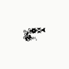 CC[C@H](C)[C@H](NC(=O)c1ccc(N2CCN(C3CC3)CC2)cc1)C(=O)N1C[C@H](N)[C@H]2OCC(=O)[C@H]21